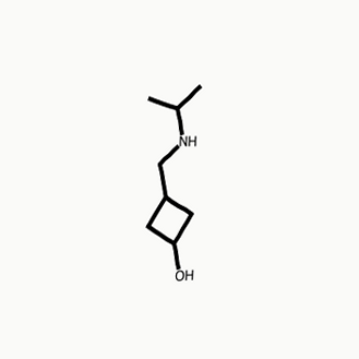 CC(C)NCC1CC(O)C1